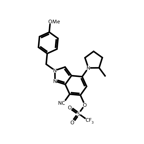 COc1ccc(Cn2cc3c(N4CCCC4C)cc(OS(=O)(=O)C(F)(F)F)c(C#N)c3n2)cc1